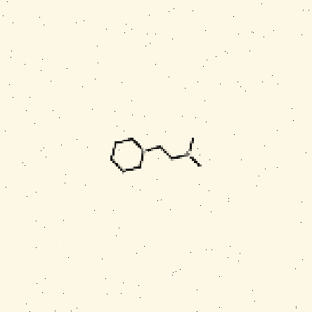 CN(C)CCN1C[CH]CCC1